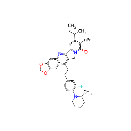 C=CC(C)c1cc2n(c(=O)c1CCC)Cc1c-2nc2cc3c(cc2c1CCc1ccc(N2CCCCC2C)c(F)c1)OCO3